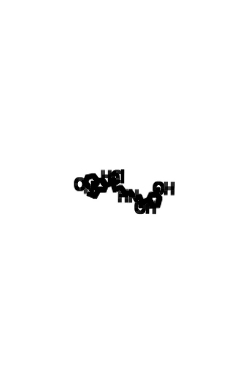 Cl.O=C(CCCCNCC(O)c1cccc(O)c1)c1cc2c3c(c1)CCN3C(=O)CC2